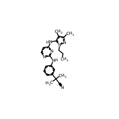 CCCn1nc(C)c(C)c1Nc1ccnc(Nc2cccc(C(C)(C)C#N)c2)n1